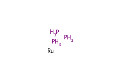 P.P.P.[Ru]